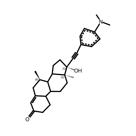 C[C@@H]1CC2=CC(=O)CCC2C2CC[C@@]3(C)C(CC[C@@]3(O)C#Cc3ccc(N(C)C)cc3)C21